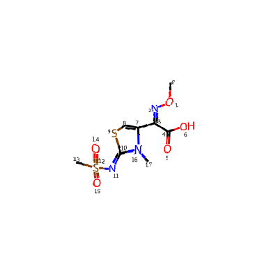 CON=C(C(=O)O)c1csc(=NS(C)(=O)=O)n1C